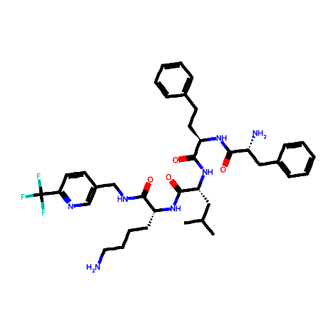 CC(C)C[C@@H](NC(=O)[C@@H](CCc1ccccc1)NC(=O)[C@H](N)Cc1ccccc1)C(=O)N[C@H](CCCCN)C(=O)NCc1ccc(C(F)(F)F)nc1